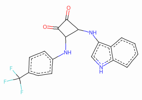 O=C1C(=O)C(Nc2c[nH]c3ccccc23)C1Nc1ccc(C(F)(F)F)cc1